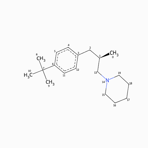 C[C@H](Cc1ccc(C(C)(C)C)cc1)CN1CCCCC1